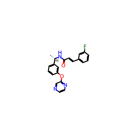 C[C@H](NC(=O)C=Cc1cccc(F)c1)c1cccc(Oc2cnccn2)c1